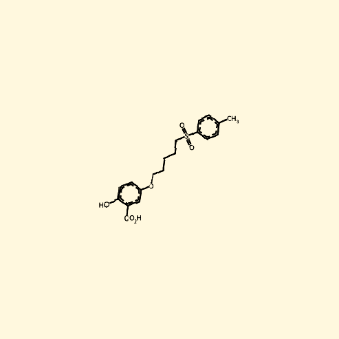 Cc1ccc(S(=O)(=O)CCCCCOc2ccc(O)c(C(=O)O)c2)cc1